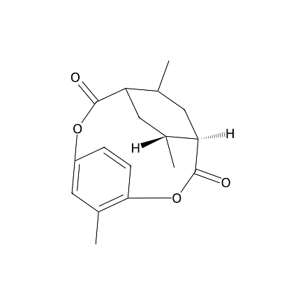 Cc1cc2ccc1OC(=O)[C@@H]1CC(C)C(C[C@H]1C)C(=O)O2